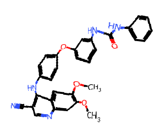 COc1cc2ncc(C#N)c(Nc3ccc(Oc4cccc(NC(=O)Nc5ccccc5)c4)cc3)c2cc1OC